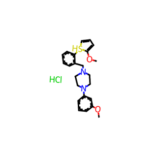 COC1=CC=C[SH]1c1ccccc1CN1CCN(c2cccc(OC)c2)CC1.Cl